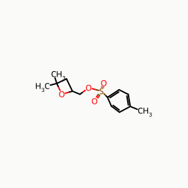 Cc1ccc(S(=O)(=O)OCC2CC(C)(C)O2)cc1